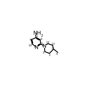 CC1CCN(c2cc(N)ccn2)CC1